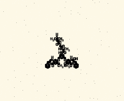 COc1cc2c(cc1OCc1cc(COc3cc4c(cc3OC)C(=O)N3c5ccccc5CC3[C@@H](O)N4)cc(NC(=O)C(C)NC(=O)CNC(=O)CCC(C)(C)S)c1)NCC1Cc3ccccc3N1C2=O